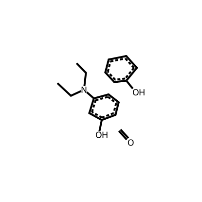 C=O.CCN(CC)c1cccc(O)c1.Oc1ccccc1